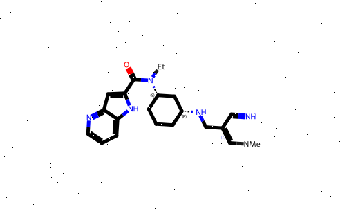 CCN(C(=O)c1cc2ncccc2[nH]1)[C@H]1CCC[C@@H](NC/C(C=N)=C/NC)C1